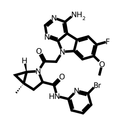 COc1cc2c(cc1F)c1c(N)ncnc1n2CC(=O)N1C(C(=O)Nc2cccc(Br)n2)C[C@@]2(C)C[C@H]12